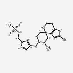 CCc1cc2c(s1)CCO[C@]21CCN(Cc2cnn(CCS(C)(=O)=O)c2)[C@H](C)C1